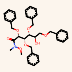 CON(C)C(=O)[C@H](OCc1ccccc1)[C@@H](OCc1ccccc1)[C@H](OCc1ccccc1)[C@H](O)COCc1ccccc1